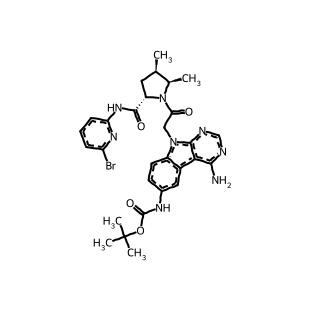 C[C@@H]1C[C@@H](C(=O)Nc2cccc(Br)n2)N(C(=O)Cn2c3ccc(NC(=O)OC(C)(C)C)cc3c3c(N)ncnc32)[C@@H]1C